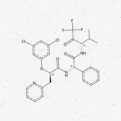 CC(C)[C@H](NC(=O)[C@@H](NC(=O)[C@@H](Cc1ccccn1)Oc1cc(Cl)cc(Cl)c1)c1ccccc1)C(=O)C(F)(F)F